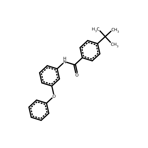 CC(C)(C)c1ccc(C(=O)Nc2cccc(Oc3ccccc3)c2)cc1